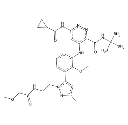 BC(B)(B)NC(=O)c1nnc(NC(=O)C2CC2)cc1Nc1cccc(-c2cc(C)nn2CCNC(=O)COC)c1OC